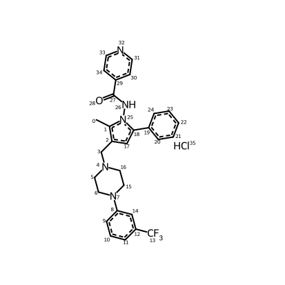 Cc1c(CN2CCN(c3cccc(C(F)(F)F)c3)CC2)cc(-c2ccccc2)n1NC(=O)c1ccncc1.Cl